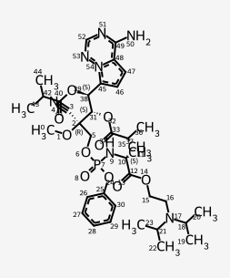 CO[C@](C#N)(COP(=O)(N[C@@H](C)C(=O)OCCN(C(C)C)C(C)C)Oc1ccccc1)[C@@H](OC(=O)C(C)C)[C@@H](OC(=O)C(C)C)c1ccc2c(N)ncnn12